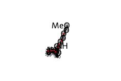 COCCOCCOCCOCCOCCNC(=O)CN1C[C@]2(CC[C@](c3ccccc3)(N(C)C)CC2)N(CC2CCC2)C1=O